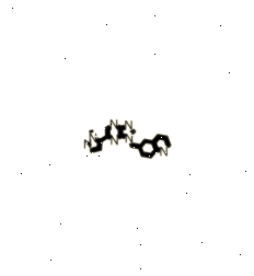 Cn1nccc1-c1cnc2ncn(C=C3C=Cc4ncccc4C3)c2n1